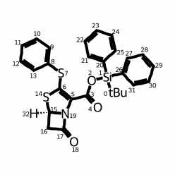 CC(C)(C)[Si](OC(=O)C1=C(Sc2ccccc2)S[C@@H]2CC(=O)N12)(c1ccccc1)c1ccccc1